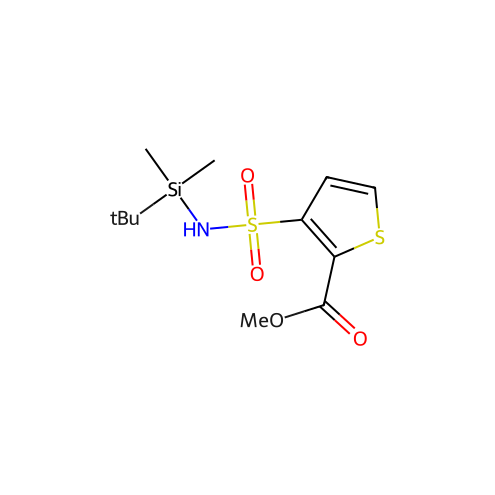 COC(=O)c1sccc1S(=O)(=O)N[Si](C)(C)C(C)(C)C